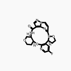 O=C1N[C@@H]2COCC[C@@H]2Oc2ncc(F)cc2[C@@H]2CCON2c2ccn3ncc1c3n2